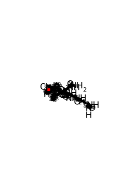 C[C@H]1NC(=O)N[C@H]1CCCCCC(=O)NCCCCC(NC(=O)C(CCCNC(N)=O)NC(=O)C(Cc1c[nH]c2ccccc12)NC(=O)[C@@H]1CCCCN1C(=O)C(Cc1ccccc1)N(C)C(=O)CCl)C(N)=O